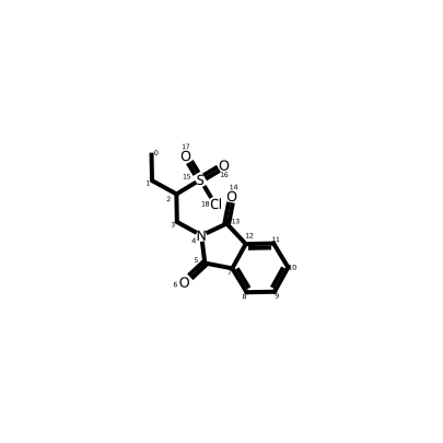 CCC(CN1C(=O)c2ccccc2C1=O)S(=O)(=O)Cl